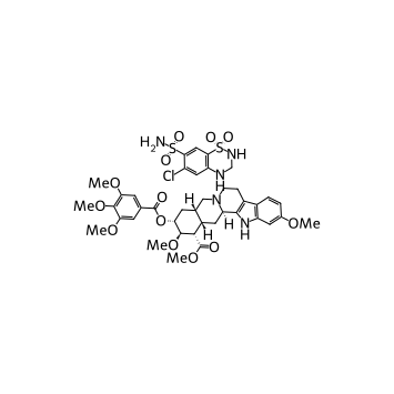 COC(=O)[C@H]1[C@H]2C[C@@H]3c4[nH]c5cc(OC)ccc5c4CCN3C[C@H]2C[C@@H](OC(=O)c2cc(OC)c(OC)c(OC)c2)[C@@H]1OC.NS(=O)(=O)c1cc2c(cc1Cl)NCNS2(=O)=O